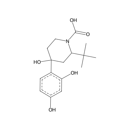 CC(C)(C)C1CC(O)(c2ccc(O)cc2O)CCN1C(=O)O